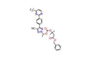 CC(OC(=O)OC(C)(C)CC(=O)OCc1ccccc1)n1nc(C#N)c(-c2ccc(-c3nccc(C(F)(F)F)n3)cc2)n1